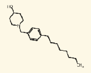 CCCCCCCCc1ccc(CN2CCC(O)CC2)cc1